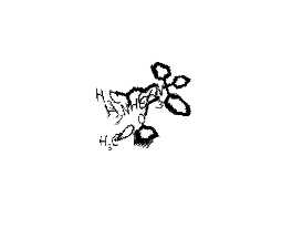 CCC(CN)CC(C)CN(CC(O)COc1ccccc1OC)C(c1ccccc1)(c1ccccc1)c1ccccc1